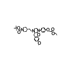 CCOC(=O)COc1ccc(N2CCN(CCC3CCN(C(=O)OC(C)(C)C)CC3)C(Cc3ccc(OC)cc3)C2=O)cc1